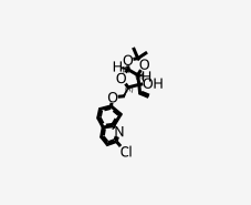 C=CC1(O)[C@@H](COc2ccc3ccc(Cl)nc3c2)O[C@@H]2OC(C)(C)O[C@@H]21